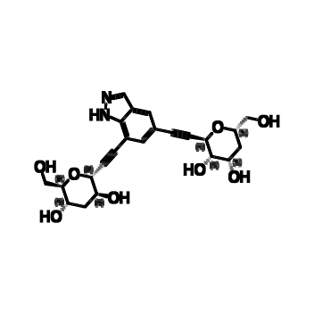 OC[C@@H]1C[C@H](O)[C@H](O)[C@@H](C#Cc2cc(C#C[C@H]3O[C@H](CO)[C@@H](O)C[C@@H]3O)c3[nH]ncc3c2)O1